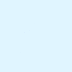 COC(C(=O)O)(c1ccccc1)c1ccccc1